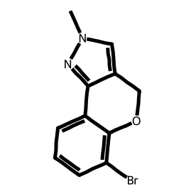 Cn1cc2c(n1)-c1cccc(Br)c1OC2